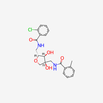 Cc1ccccc1C(=O)NC[C@]1(O)CO[C@H](CNC(=O)c2ccccc2Cl)[C@H]1O